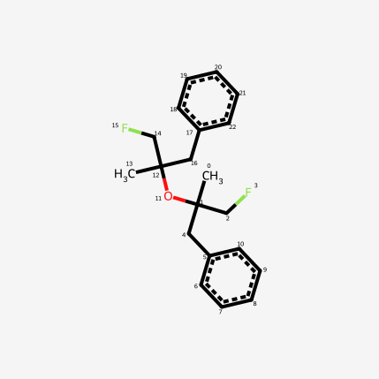 CC(CF)(Cc1ccccc1)OC(C)(CF)Cc1ccccc1